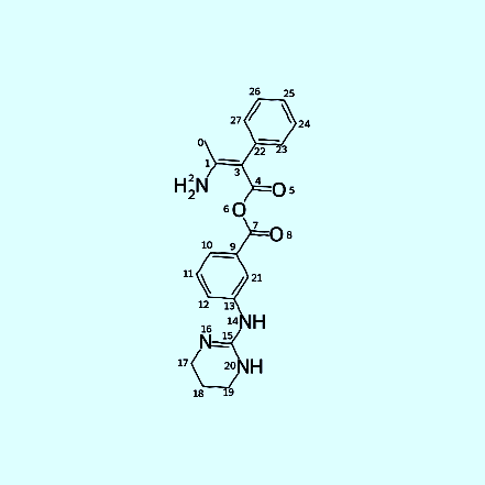 CC(N)=C(C(=O)OC(=O)c1cccc(NC2=NCCCN2)c1)c1ccccc1